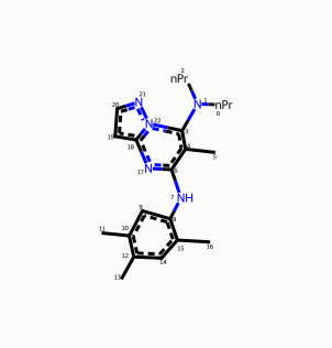 CCCN(CCC)c1c(C)c(Nc2cc(C)c(C)cc2C)nc2ccnn12